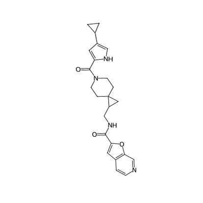 O=C(NCC1CC12CCN(C(=O)c1cc(C3CC3)c[nH]1)CC2)c1cc2ccncc2o1